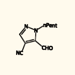 CCCCCn1ncc(C#N)c1C=O